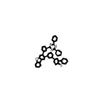 C1=CCC(c2nc(-c3ccccc3)nc(-c3cccc(-c4cc5oc6ccccc6c5cc4-c4cccc(-c5ccc6sc7ccccc7c6c5)c4)c3)n2)C=C1